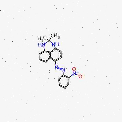 CC1(C)Nc2cccc3c(N=Nc4ccccc4[N+](=O)[O-])ccc(c23)N1